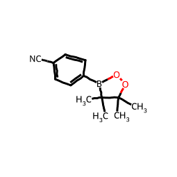 CC1(C)OOB(c2ccc(C#N)cc2)C1(C)C